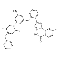 Cc1ccc(C(=O)O)c(-n2nnc(-c3ccccc3Cc3cc(O)cc(N4C[C@@H](C)N(Cc5ccccc5)C[C@@H]4C)c3)n2)c1